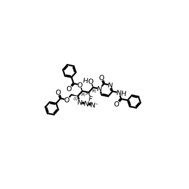 [N-]=[N+]=N[C@@H](COC(=O)c1ccccc1)[C@@H](OC(=O)c1ccccc1)[C@@H](F)[C@@H](O)n1ccc(NC(=O)c2ccccc2)nc1=O